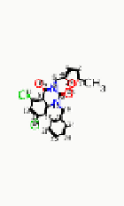 Cc1ccc(Cn2c(=O)c3c(Cl)cc(Cl)cc3n(Cc3ccccc3)c2=O)o1